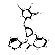 O=C(Nc1ccncn1)c1nccnc1N1CC(Oc2cc(F)c(F)c(F)c2)C1